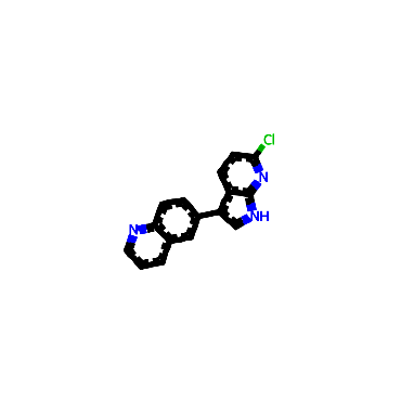 Clc1ccc2c(-c3ccc4ncccc4c3)c[nH]c2n1